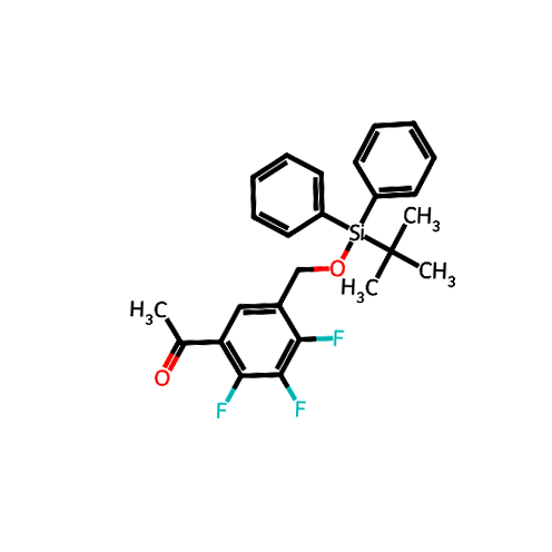 CC(=O)c1cc(CO[Si](c2ccccc2)(c2ccccc2)C(C)(C)C)c(F)c(F)c1F